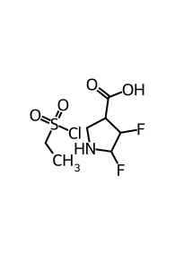 CCS(=O)(=O)Cl.O=C(O)C1CNC(F)C1F